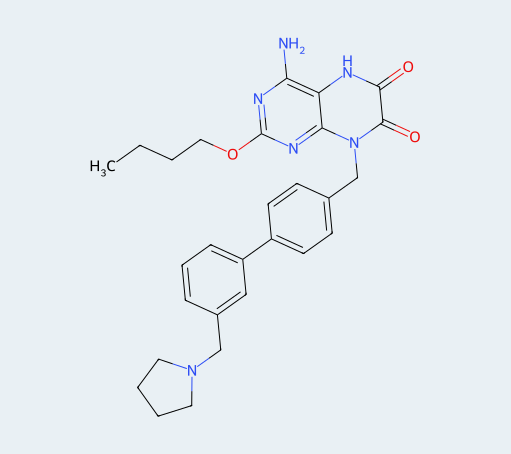 CCCCOc1nc(N)c2[nH]c(=O)c(=O)n(Cc3ccc(-c4cccc(CN5CCCC5)c4)cc3)c2n1